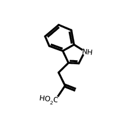 C=C(Cc1c[nH]c2ccccc12)C(=O)O